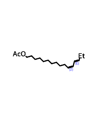 CC/C=C/C=C\CCCCCCCCCCOC(C)=O